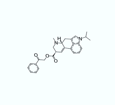 CC(C)n1cc2c3c(cccc31)C1=C[C@@H](C(=O)OCC(=O)c3ccccc3)CN(C)[C@@H]1C2